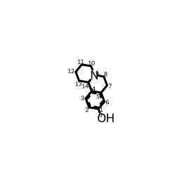 Oc1ccc2c(c1)CCN1CCCCC21